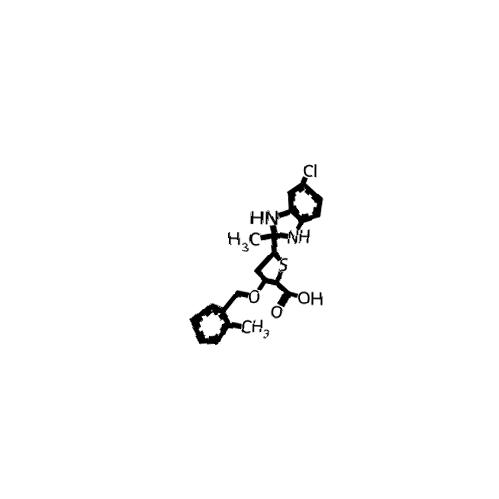 Cc1ccccc1COC1CC(C2(C)Nc3ccc(Cl)cc3N2)SC1C(=O)O